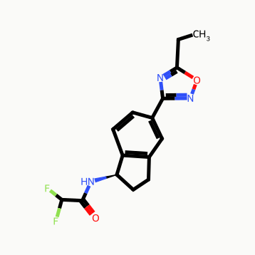 CCc1nc(-c2ccc3c(c2)CC[C@H]3NC(=O)C(F)F)no1